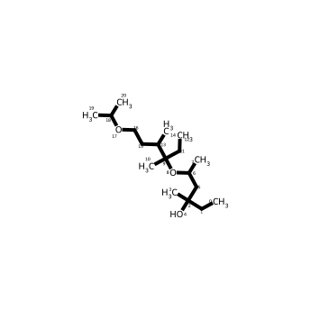 CCC(C)(O)CC(C)OC(C)(CC)C(C)CCOC(C)C